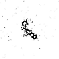 CC1CCCN(C(=O)c2cc3nc(CC4CCCC4)cc(C(C)C)n3n2)CC1